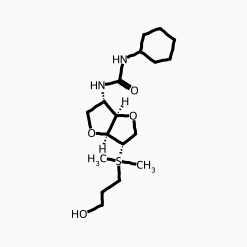 CS(C)(CCCO)[C@H]1CO[C@H]2[C@@H]1OC[C@@H]2NC(=O)NC1CCCCC1